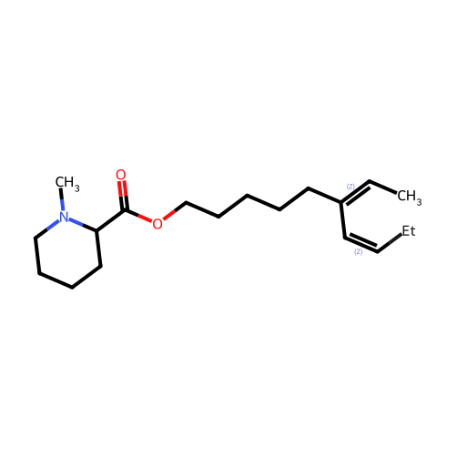 C/C=C(\C=C/CC)CCCCCOC(=O)C1CCCCN1C